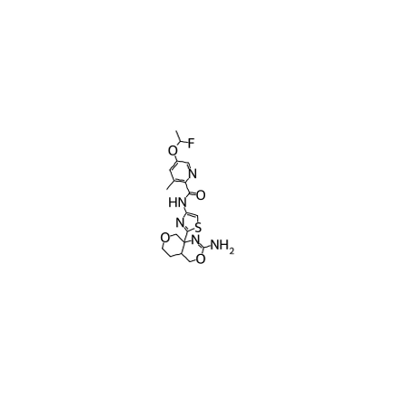 Cc1cc(OC(C)F)cnc1C(=O)Nc1csc(C23COCCC2COC(N)=N3)n1